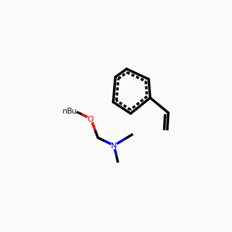 C=Cc1ccccc1.CCCCOCN(C)C